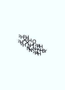 [2H]C([2H])([2H])C([2H])([2H])n1nnn(C([2H])([2H])C([2H])([2H])Br)c1=O